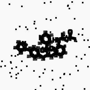 CC(=O)OC(C)Nc1cccc(CN(Cc2ccc(-n3cccn3)cc2)S(=O)(=O)c2cccnc2)n1